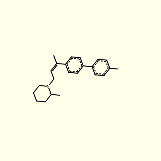 CC(=CCN1CCCCC1C)c1ccc(-c2ccc(F)cc2)cc1